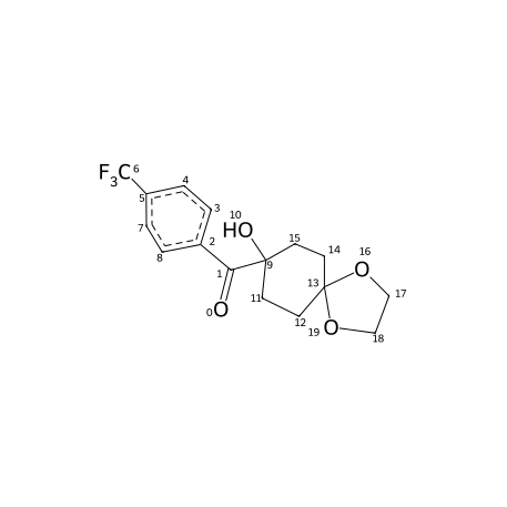 O=C(c1ccc(C(F)(F)F)cc1)C1(O)CCC2(CC1)OCCO2